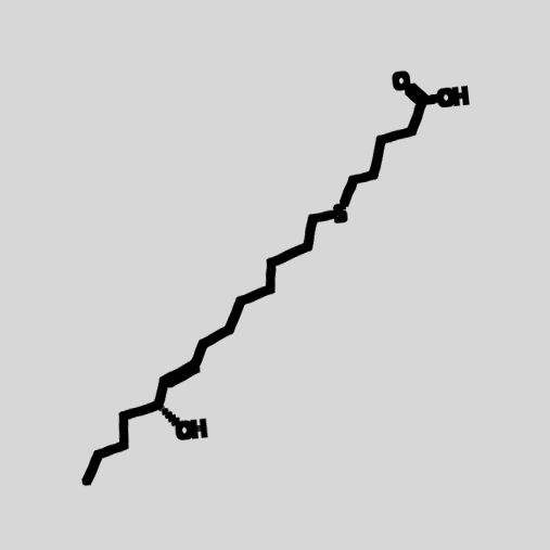 CCCC[C@@H](O)C=CCCCCCCCSCCCCC(=O)O